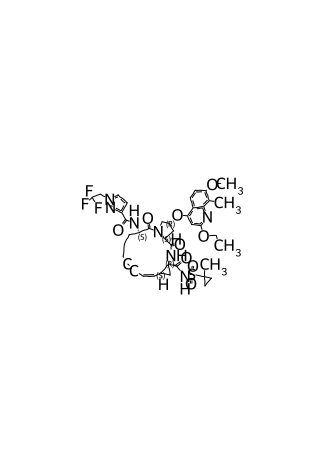 CCOc1cc(O[C@@H]2C[C@H]3C(=O)N[C@]4(C(=O)NS(=O)(=O)C5(C)CC5)C[C@H]4C=CCCCCC[C@H](NC(=O)c4ccn(CC(F)(F)F)n4)C(=O)N3C2)c2ccc(OC)c(C)c2n1